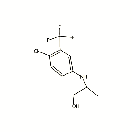 CC(CO)Nc1ccc(Cl)c(C(F)(F)F)c1